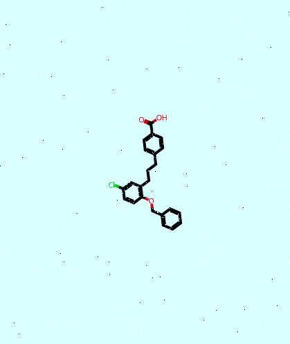 O=C(O)c1ccc(CCCc2cc(Cl)ccc2OCc2ccccc2)cc1